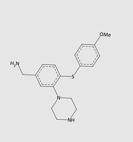 COc1ccc(Sc2ccc(CN)cc2N2CCNCC2)cc1